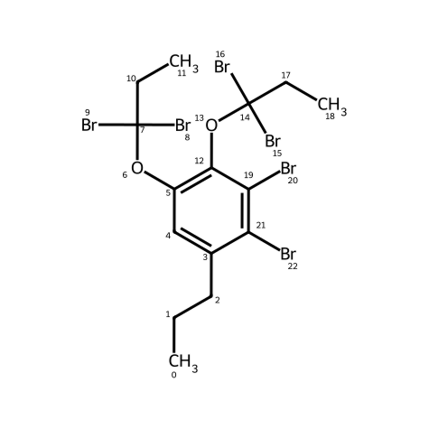 CCCc1cc(OC(Br)(Br)CC)c(OC(Br)(Br)CC)c(Br)c1Br